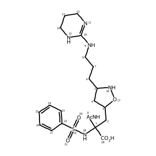 CC(=O)NC(CC1CC(CCCNC2=NCCCN2)NO1)(NS(=O)(=O)c1ccccc1)C(=O)O